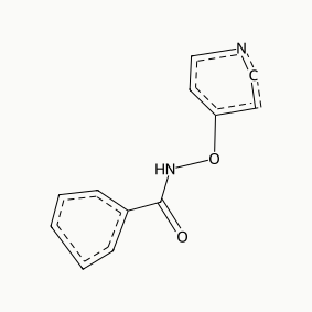 O=C(NOc1ccncc1)c1ccccc1